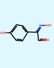 O=CC(=NO)c1ccc(O)cc1